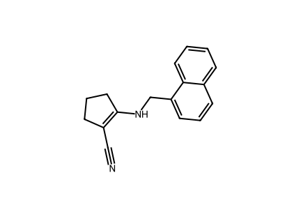 N#CC1=C(NCc2cccc3ccccc23)CCC1